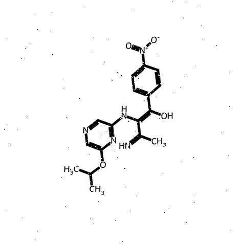 CC(=N)/C(Nc1cncc(OC(C)C)n1)=C(\O)c1ccc([N+](=O)[O-])cc1